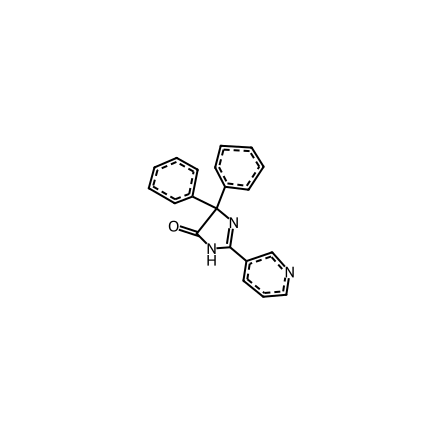 O=C1NC(c2cccnc2)=NC1(c1ccccc1)c1ccccc1